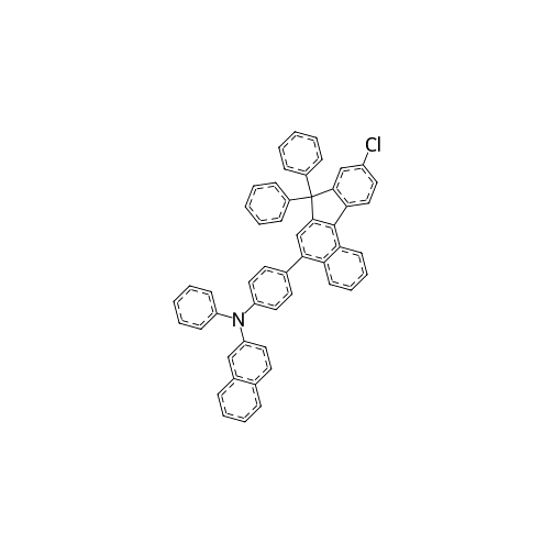 Clc1ccc2c(c1)C(c1ccccc1)(c1ccccc1)c1cc(-c3ccc(N(c4ccccc4)c4ccc5ccccc5c4)cc3)c3ccccc3c1-2